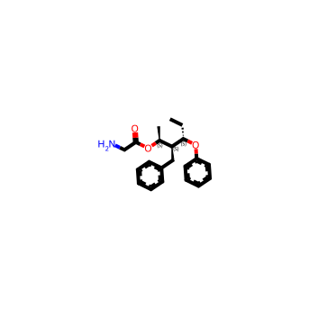 CC[C@H](Oc1ccccc1)[C@@H](Cc1ccccc1)[C@H](C)OC(=O)CN